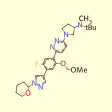 COCOc1cc(-c2cnn(C3CCCCO3)c2)c(F)cc1-c1ccc(N2CC[C@@H](N(C)C(C)(C)C)C2)nn1